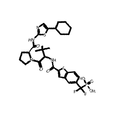 CC(C)(C)C(NC(=O)c1cc2cc(C(F)(F)P(=O)(O)O)ccc2s1)C(=O)N1CCC[C@H]1C(=O)Nc1ncc(C2CCCCC2)s1